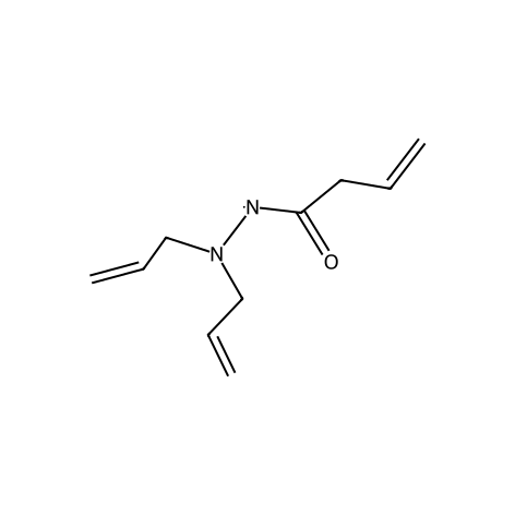 C=CCC(=O)[N]N(CC=C)CC=C